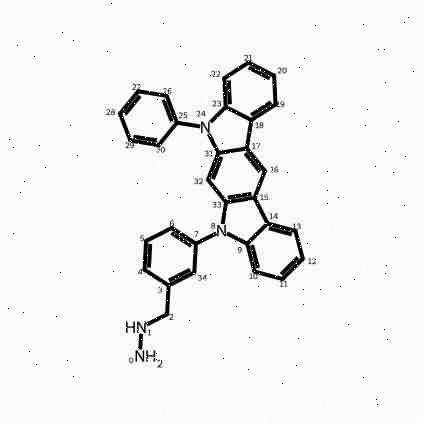 NNCc1cccc(-n2c3ccccc3c3cc4c5ccccc5n(-c5ccccc5)c4cc32)c1